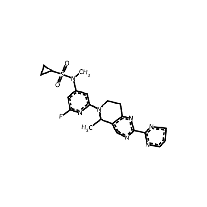 CC1c2cnc(-c3ncccn3)nc2CCN1c1cc(N(C)S(=O)(=O)C2CC2)cc(F)n1